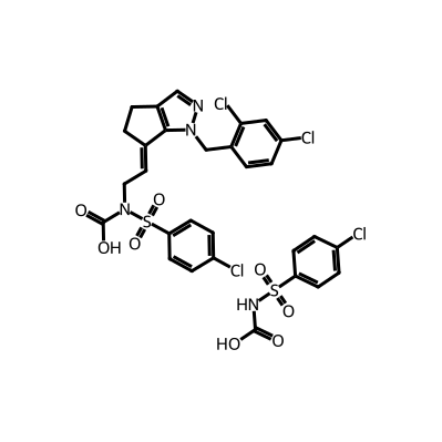 O=C(O)N(C/C=C1\CCc2cnn(Cc3ccc(Cl)cc3Cl)c21)S(=O)(=O)c1ccc(Cl)cc1.O=C(O)NS(=O)(=O)c1ccc(Cl)cc1